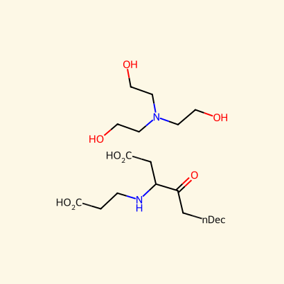 CCCCCCCCCCCC(=O)C(CC(=O)O)NCCC(=O)O.OCCN(CCO)CCO